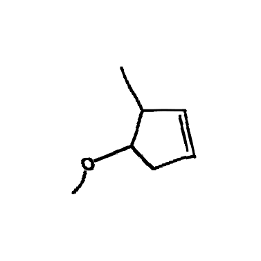 COC1CC=CC1C